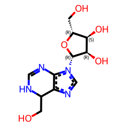 OCC1NC=Nc2c1ncn2[C@@H]1O[C@H](CO)[C@@H](O)[C@H]1O